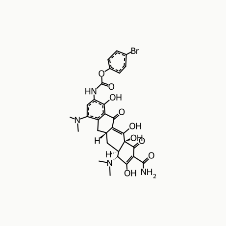 CN(C)c1cc(NC(=O)Oc2ccc(Br)cc2)c(O)c2c1C[C@H]1C[C@@H]3[C@@H](N(C)C)C(O)=C(C(N)=O)C(=O)[C@@]3(O)C(O)=C1C2=O